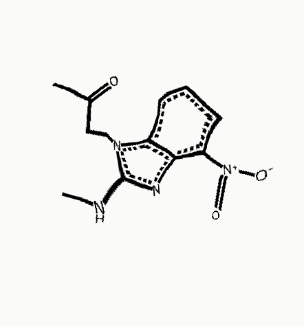 CNc1nc2c([N+](=O)[O-])cccc2n1CC(C)=O